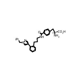 CC(C)Cn1cc(-c2ccccc2CCCNC(=O)c2ccc(C[C@H](N)C(=O)O)cc2)cn1